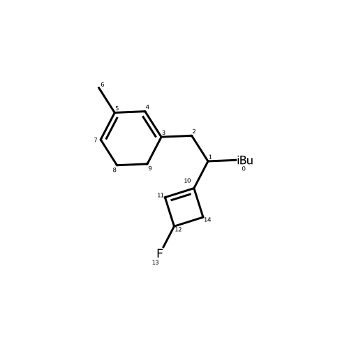 CCC(C)C(CC1=CC(C)=CCC1)C1=CC(F)C1